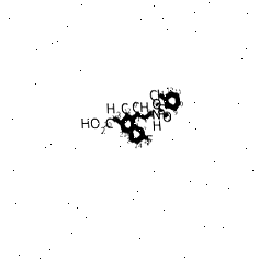 C=C(CCNS(=O)(=O)c1ccccc1Cl)c1c(C)c(CC(=O)O)cc2ccc(F)cc12